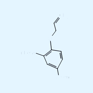 C=CCOc1[c]cc(CCCCC)cc1CCCCC